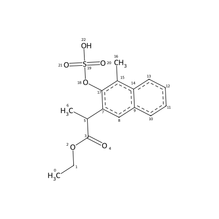 CCOC(=O)C(C)c1cc2ccccc2c(C)c1OS(=O)(=O)O